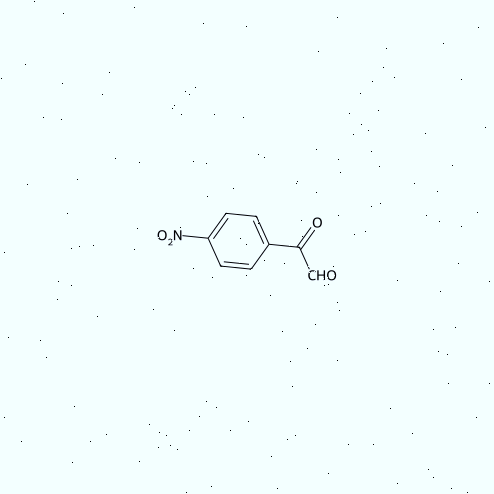 O=CC(=O)c1ccc([N+](=O)[O-])cc1